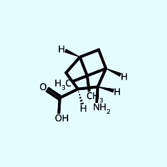 CC1(C)[C@@H]2C[C@H](C(=O)O)[C@@H](N)[C@H]1C2